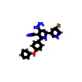 N#Cc1c(NN)cc(-c2cncc(Br)c2)nc1-c1ccc(Oc2ccccc2)cc1